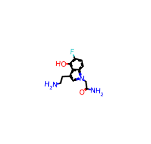 NCCc1cn(CC(N)=O)c2ccc(F)c(O)c12